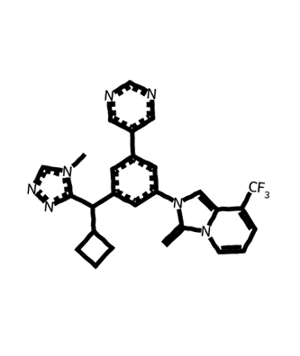 C=C1N2C=CC=C(C(F)(F)F)C2=CN1c1cc(-c2cncnc2)cc(C(c2nncn2C)C2CCC2)c1